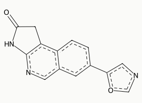 O=C1Cc2c(ncc3cc(-c4cnco4)ccc23)N1